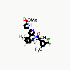 COC(=O)[C@@H]1CC[C@@H](c2cc(-c3ccc(F)cc3C)c(N(C)C(=O)C(C)(C)c3cc(C(F)F)cc(C(F)(F)F)c3)cn2)N1